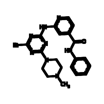 CCc1nc(Nc2cc(C(=O)Nc3ccccc3)ccn2)nc(N2CCN(C)CC2)n1